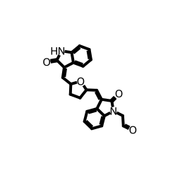 O=CCN1C(=O)/C(=C/C2CCC(/C=C3/C(=O)Nc4ccccc43)O2)c2ccccc21